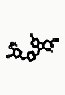 COc1ccc(Oc2ccc(/C=C3/C(C)=C(CC(=O)O)c4cc(F)ccc43)cc2)cc1Cl